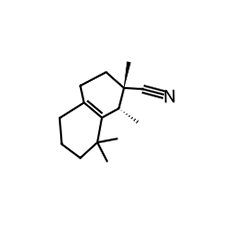 C[C@@H]1C2=C(CCCC2(C)C)CC[C@]1(C)C#N